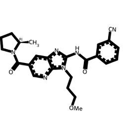 COCCCn1c(NC(=O)c2cccc(C#N)c2)nc2cc(C(=O)N3CCC[C@H]3C)cnc21